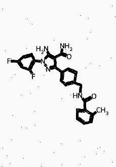 Cc1ccccc1C(=O)NCc1ccc(-c2nn(-c3ccc(F)cc3F)c(N)c2C(N)=O)cc1